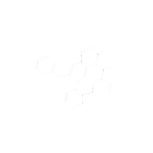 O=C(O)CN(OCc1ccccc1)C(=O)n1c(=O)cc(O)c2cc(Oc3ccccc3)ccc21